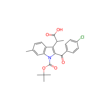 Cc1ccc2c(C(C)C(=O)O)c(C(=O)c3ccc(Cl)cc3)n(C(=O)OC(C)(C)C)c2c1